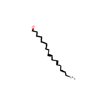 CCC=CCC=CCC=CCC=CCCCC[C]=O